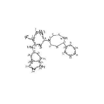 Fc1cnc(N2CCNC(c3ccccc3)CC2)nc1Nc1ccc2[nH]ncc2c1